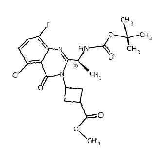 COC(=O)C1CC(n2c([C@H](C)NC(=O)OC(C)(C)C)nc3c(F)ccc(Cl)c3c2=O)C1